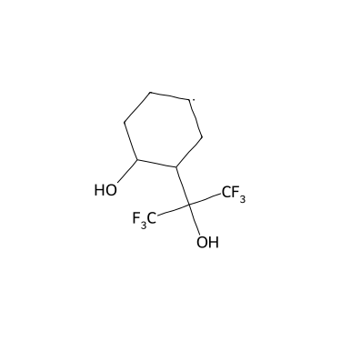 OC1CC[CH]CC1C(O)(C(F)(F)F)C(F)(F)F